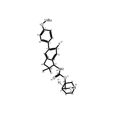 CCCCOc1ccc(-c2cc3c(cc2F)C(NC(=O)O[C@H]2CN4CCC2CC4)C(C)(C)C3)cc1